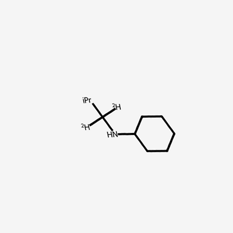 [2H]C([2H])(NC1CCCCC1)C(C)C